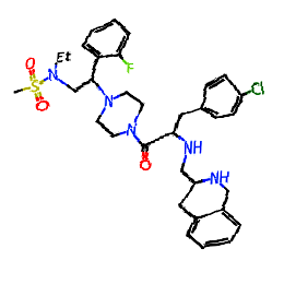 CCN(CC(c1ccccc1F)N1CCN(C(=O)C(Cc2ccc(Cl)cc2)NCC2Cc3ccccc3CN2)CC1)S(C)(=O)=O